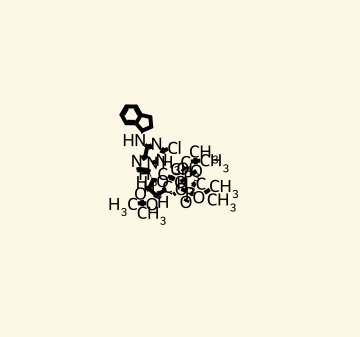 CC(C)(C)OP(=O)(CP(=O)(OC(C)(C)C)OC(C)(C)C)OC[C@H]1O[C@@H](c2cnc3c(N[C@H]4CCc5ccccc54)nc(Cl)nn23)[C@@H]2OC(C)(C)O[C@@H]21